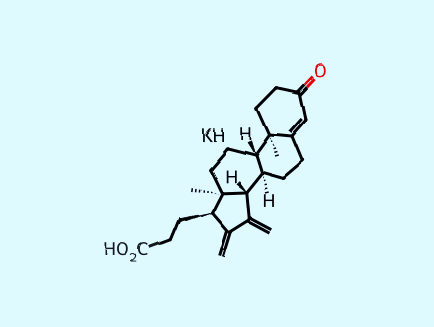 C=C1C(=C)[C@H]2[C@@H]3CCC4=CC(=O)CC[C@]4(C)[C@H]3CC[C@]2(C)[C@@H]1CCC(=O)O.[KH]